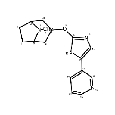 CN1C2CCC1CC(Oc1ncc(-c3cccnc3)s1)C2